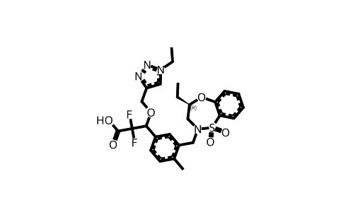 CC[C@@H]1CN(Cc2cc(C(OCc3cn(CC)nn3)C(F)(F)C(=O)O)ccc2C)S(=O)(=O)c2ccccc2O1